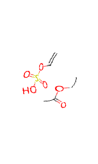 C=COS(=O)(=O)O.CCOC(C)=O